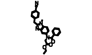 CCOC(=O)CN(C(=O)c1ccccc1)c1ccc2c(c1)nc(Cc1ccc(C#N)cc1)n2C